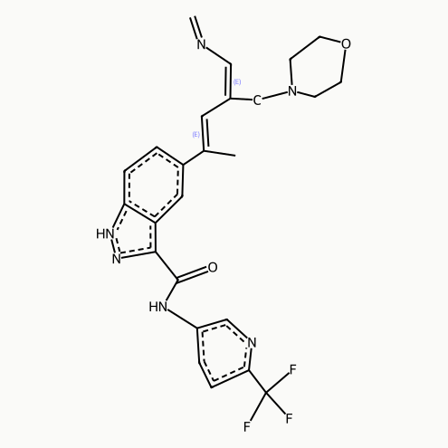 C=N/C=C(\C=C(/C)c1ccc2[nH]nc(C(=O)Nc3ccc(C(F)(F)F)nc3)c2c1)CN1CCOCC1